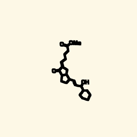 COC(=O)CCCC=C1CC2C(C=CC(O)C3CCCCC3)CCC2C1=O